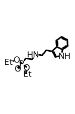 CCOP(=O)(CCNCCc1c[nH]c2ccccc12)OCC